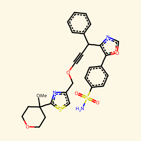 COC1(c2nc(COC#CC(c3ccccc3)c3ncoc3-c3ccc(S(N)(=O)=O)cc3)cs2)CCOCC1